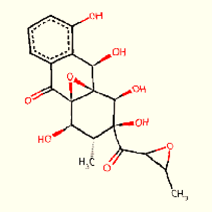 CC1OC1C(=O)[C@]1(O)[C@H](C)[C@@H](O)[C@@]23O[C@@]2([C@H](O)c2c(O)cccc2C3=O)[C@H]1O